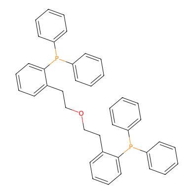 c1ccc(P(c2ccccc2)c2ccccc2CCOCCc2ccccc2P(c2ccccc2)c2ccccc2)cc1